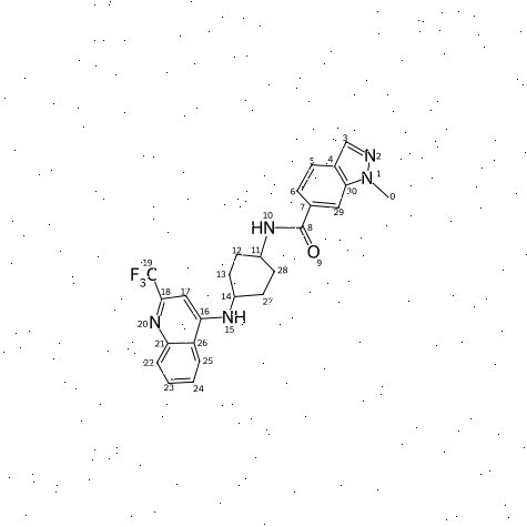 Cn1ncc2ccc(C(=O)NC3CCC(Nc4cc(C(F)(F)F)nc5ccccc45)CC3)cc21